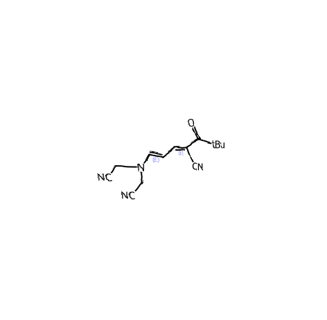 CC(C)(C)C(=O)/C(C#N)=C/C=C/N(CC#N)CC#N